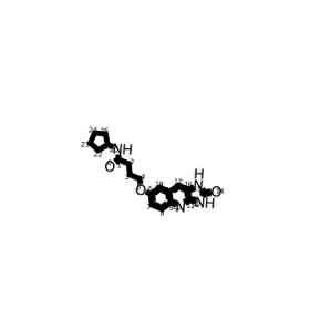 O=C(CCCOc1ccc2nc3[nH]c(=O)[nH]c3cc2c1)NC1CCCC1